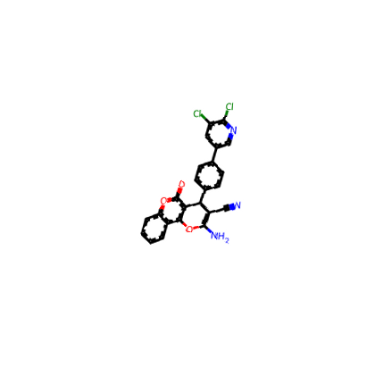 N#CC1=C(N)Oc2c(c(=O)oc3ccccc23)C1c1ccc(-c2cnc(Cl)c(Cl)c2)cc1